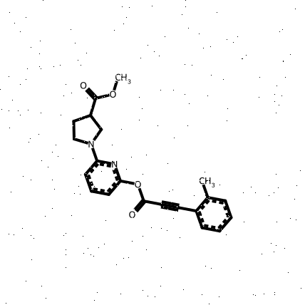 COC(=O)C1CCN(c2cccc(OC(=O)C#Cc3ccccc3C)n2)C1